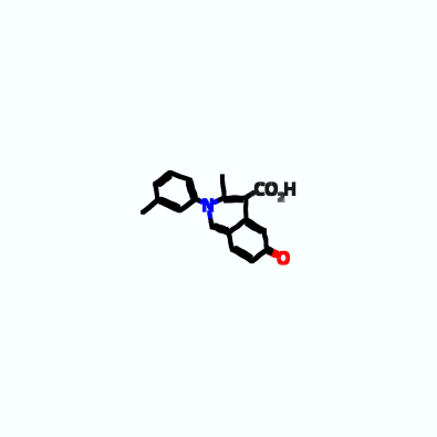 Cc1cccc(-n2cc3ccc(=O)cc-3c(C(=O)O)c2C)c1